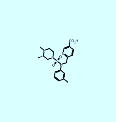 Cc1cccc(N(Cc2ccc(C(=O)O)cn2)S(=O)(=O)N2CCN(C)[C@H](C)C2)c1